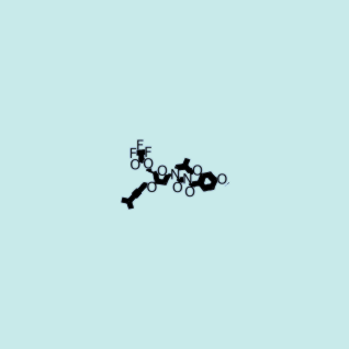 COc1ccc(C(=O)n2c(=O)c(C)cn([C@H]3C[C@H](OCC#CC(C)C)[C@@H](COC(=O)C(F)(F)F)O3)c2=O)cc1